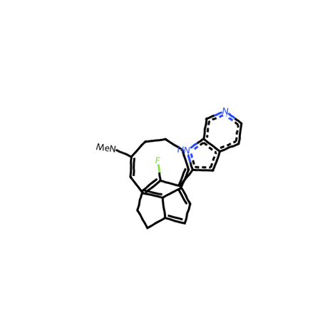 CN/C1=C/C=C(/C2=C\C=C(c3cc4ccncc4[nH]3)/C(F)=C\CC2)\C=C/CCC1